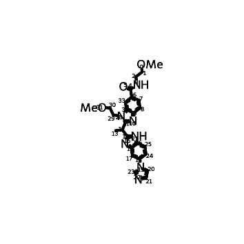 COCCNC(=O)c1ccc2nc(C(C)c3nc4cc(-n5ccnc5)ccc4[nH]3)n(CCOC)c2c1